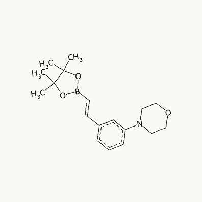 CC1(C)OB(C=Cc2cccc(N3CCOCC3)c2)OC1(C)C